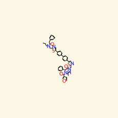 CCCN(Cc1ncc(-c2ccc(-c3ccc(-c4cnc(CN(CCC)C(=O)[C@@H](NC(=O)c5ccoc5)c5ccccc5)s4)cc3)cc2)s1)C(=O)Cc1ccccc1